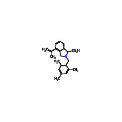 C=C(C)c1cccc2c1CN(Cc1c(C)cc(C)cc1C)C2C(=O)O